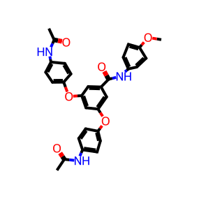 COc1ccc(NC(=O)c2cc(Oc3ccc(NC(C)=O)cc3)cc(Oc3ccc(NC(C)=O)cc3)c2)cc1